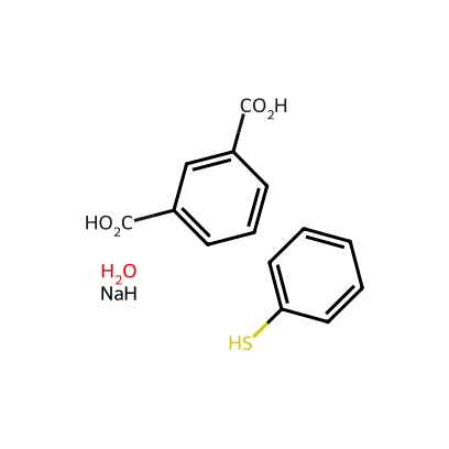 O.O=C(O)c1cccc(C(=O)O)c1.Sc1ccccc1.[NaH]